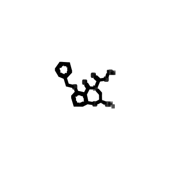 C[C@@H]1CN(C(=O)OC(C)(C)C)C(=O)c2c(OCc3ccccc3)cccc2O1